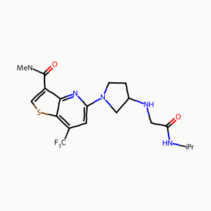 CNC(=O)c1csc2c(C(F)(F)F)cc(N3CCC(NCC(=O)NC(C)C)C3)nc12